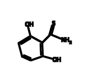 NC(=S)c1c(O)cccc1O